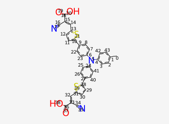 Cc1ccc(N(c2ccc(-c3ccc(/C=C(\C#N)C(=O)O)s3)cc2)c2ccc(-c3ccc(/C=C(\C#N)C(=O)O)s3)cc2)cc1